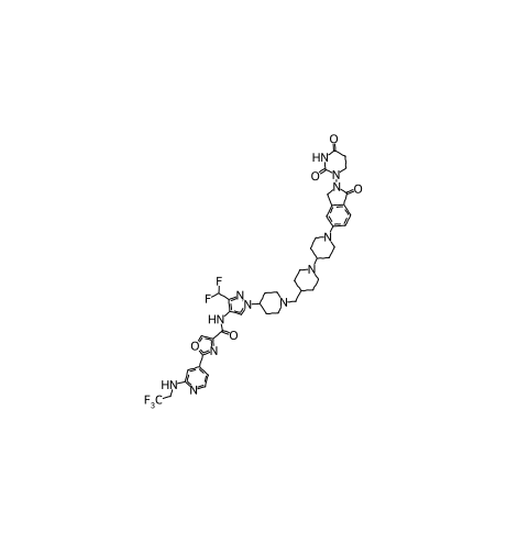 O=C1CCN(N2Cc3cc(N4CCC(N5CCC(CN6CCC(n7cc(NC(=O)c8coc(-c9ccnc(NCC(F)(F)F)c9)n8)c(C(F)F)n7)CC6)CC5)CC4)ccc3C2=O)C(=O)N1